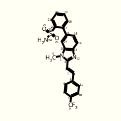 Cn1c(/C=C/c2ccc(C(F)(F)F)cc2)nc2ccc(-c3ccccc3S(N)(=O)=O)cc21